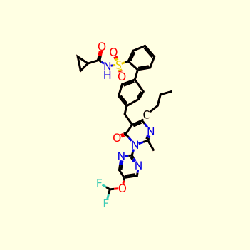 CCCCc1nc(C)n(-c2ncc(OC(F)F)cn2)c(=O)c1Cc1ccc(-c2ccccc2S(=O)(=O)NC(=O)C2CC2)cc1